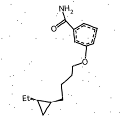 CC[C@@H]1C[C@@H]1CCCCOc1cccc(C(N)=O)c1